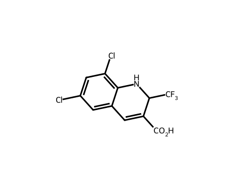 O=C(O)C1=Cc2cc(Cl)cc(Cl)c2NC1C(F)(F)F